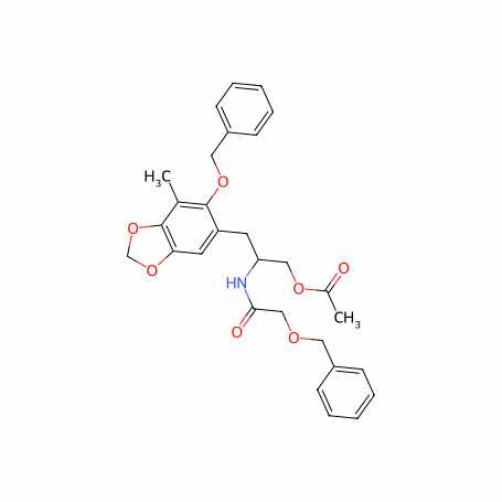 CC(=O)OCC(Cc1cc2c(c(C)c1OCc1ccccc1)OCO2)NC(=O)COCc1ccccc1